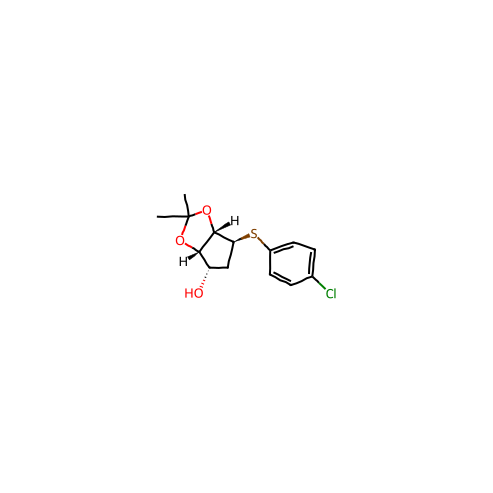 CC1(C)O[C@@H]2[C@H](O1)[C@@H](Sc1ccc(Cl)cc1)C[C@@H]2O